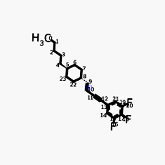 CCCCC[C@H]1CC[C@H](/C=C/C#Cc2cc(F)c(F)c(F)c2)CC1